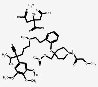 COCC(=O)NN1CCC(CO[N+](=O)[O-])(Oc2ccccc2CCN(C)CCCC(C#N)(c2cc(OC)c(OC)c(OC)c2)C(C)C)CC1.O.O=C(O)CC(O)(CC(=O)O)C(=O)O